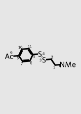 CNCCSSc1ccc(C(C)=O)cc1